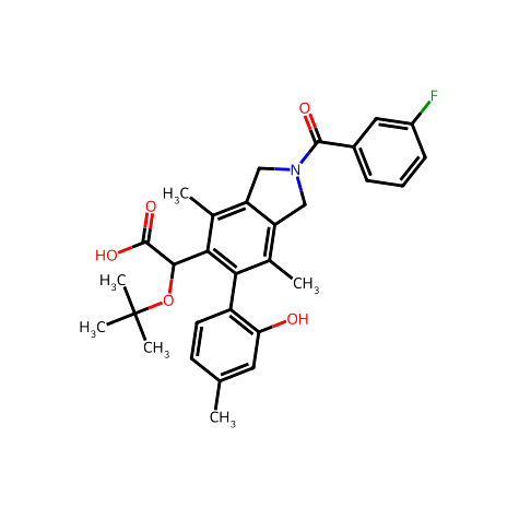 Cc1ccc(-c2c(C)c3c(c(C)c2C(OC(C)(C)C)C(=O)O)CN(C(=O)c2cccc(F)c2)C3)c(O)c1